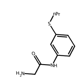 CCCSc1cccc(NC(=O)CN)c1